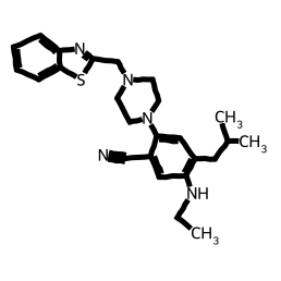 CCNc1cc(C#N)c(N2CCN(Cc3nc4ccccc4s3)CC2)cc1CC(C)C